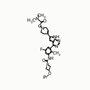 Cc1c(NC(=O)N2CC(OC(C)C)C2)cc(F)cc1-c1ncnc2[nH]c(C3=CCN(OC(=O)N(C)C)CC3)cc12